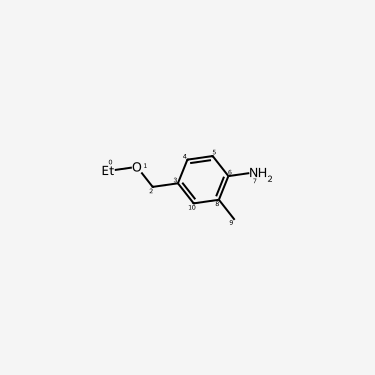 CCOCc1ccc(N)c(C)c1